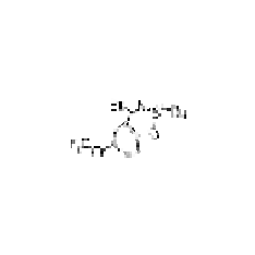 CC/C(=N/[S@+]([O-])C(C)(C)C)c1cccc(OC(F)(F)F)c1